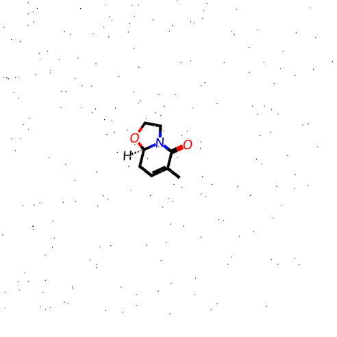 CC1=CC[C@H]2OCCN2C1=O